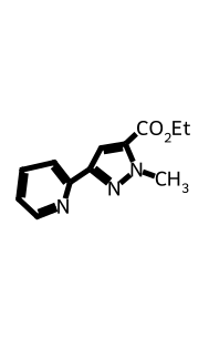 CCOC(=O)c1cc(-c2ccccn2)nn1C